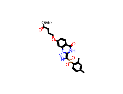 COC(=O)CCCOc1ccc2c(=O)[nH]c3c(S(=O)(=O)c4ccc(C)cc4C)nnn3c2c1